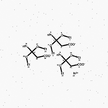 CCCC(CC(=O)[O-])(OCC)OCC.CCCC(CC(=O)[O-])(OCC)OCC.CCCC(CC(=O)[O-])(OCC)OCC.[In+3]